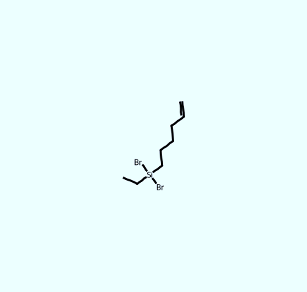 C=CCCCC[Si](Br)(Br)CC